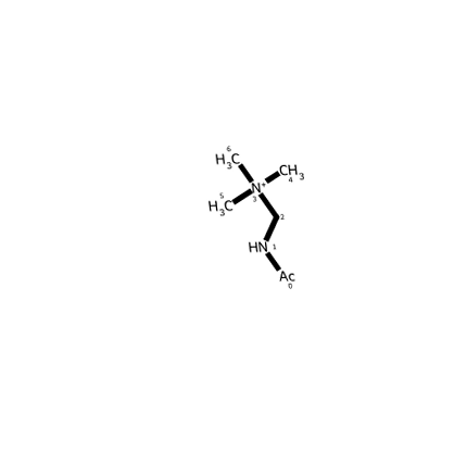 CC(=O)NC[N+](C)(C)C